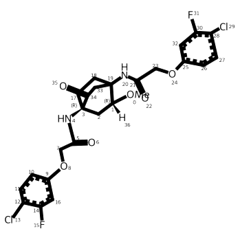 CO[C@@H]1C[C@]2(NC(=O)COc3ccc(Cl)c(F)c3)CCC1(NC(=O)COc1ccc(Cl)c(F)c1)CC2=O